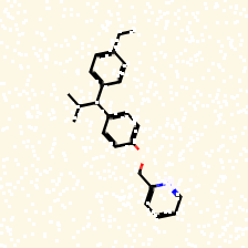 CCc1ccc(C(c2ccc(OCc3ccccn3)cc2)C(C)C)cc1